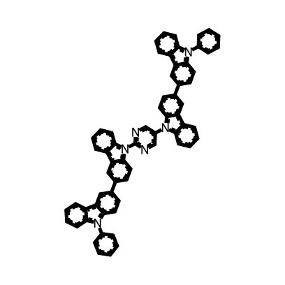 c1ccc(-n2c3ccccc3c3cc(-c4ccc5c(c4)c4ccccc4n5-c4cnc(-n5c6ccccc6c6cc(-c7ccc8c(c7)c7ccccc7n8-c7ccccc7)ccc65)nc4)ccc32)cc1